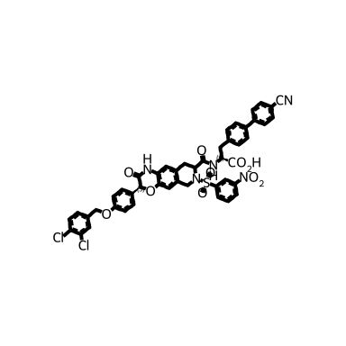 N#Cc1ccc(-c2ccc(C[C@H](NC(=O)C3Cc4cc5c(cc4CN3S(=O)(=O)c3cccc([N+](=O)[O-])c3)O[C@@H](c3ccc(OCc4ccc(Cl)c(Cl)c4)cc3)C(=O)N5)C(=O)O)cc2)cc1